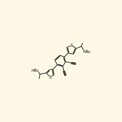 C#Cc1c(-c2csc(C(C)CCCC)c2)ccc(-c2csc(C(C)CCCC)c2)c1C#C